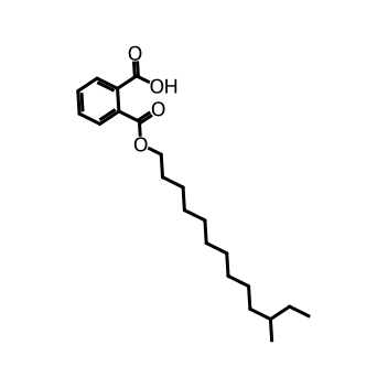 CCC(C)CCCCCCCCCCOC(=O)c1ccccc1C(=O)O